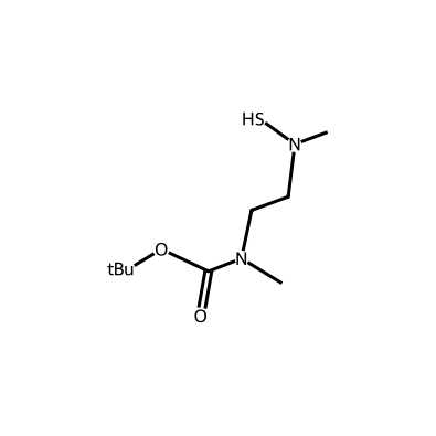 CN(S)CCN(C)C(=O)OC(C)(C)C